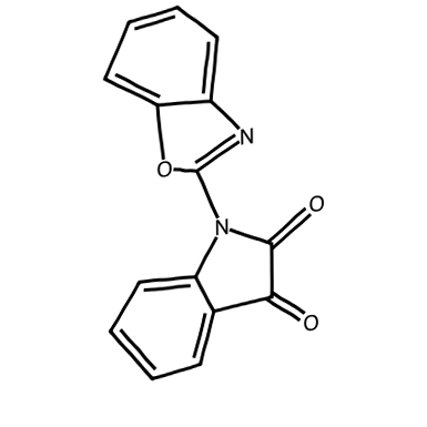 O=C1C(=O)N(c2nc3ccccc3o2)c2ccccc21